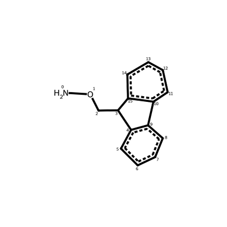 NOCC1c2ccccc2-c2ccccc21